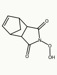 O=C1C2C3C=CC(C3)C2C(=O)N1OO